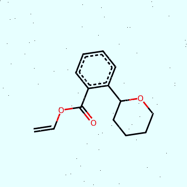 C=COC(=O)c1ccccc1C1CCCCO1